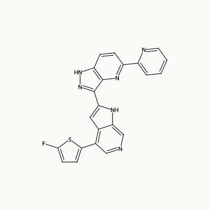 Fc1ccc(-c2cncc3[nH]c(-c4n[nH]c5ccc(-c6ccccn6)nc45)cc23)s1